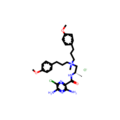 COc1ccc(CCC[N+](C)(CCCc2ccc(OC)cc2)C[C@H](C)NC(=O)c2nc(Cl)c(N)nc2N)cc1.[Cl-]